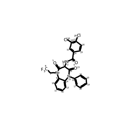 O=C(NC1C(=O)N(CC(F)(F)F)c2ccccc2N(c2ccccc2)C1=O)c1ccc(Cl)c(Cl)c1